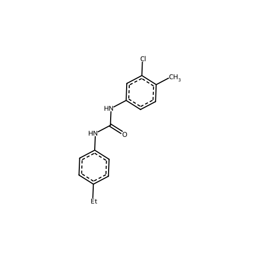 CCc1ccc(NC(=O)Nc2ccc(C)c(Cl)c2)cc1